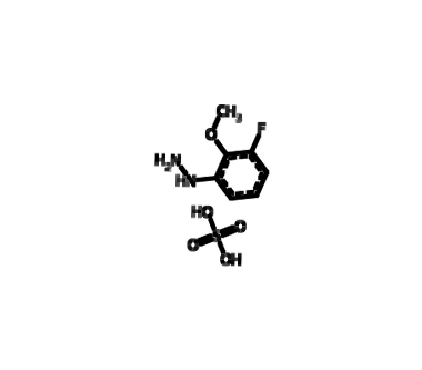 COc1c(F)cccc1NN.O=S(=O)(O)O